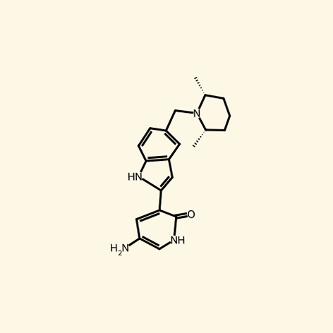 C[C@@H]1CCC[C@H](C)N1Cc1ccc2[nH]c(-c3cc(N)c[nH]c3=O)cc2c1